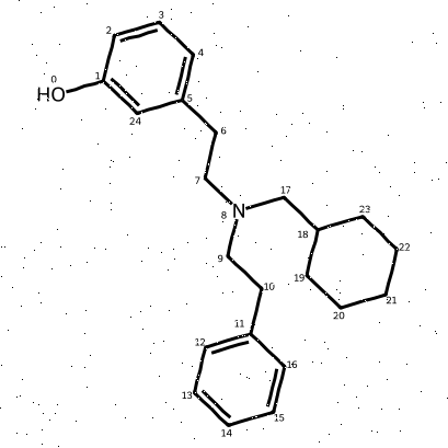 Oc1cccc(CCN(CCc2ccccc2)CC2CCCCC2)c1